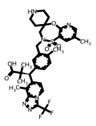 Cc1cnc2c(c1)S(=O)(=O)N(Cc1cc([C@@H](c3ccn4c(C(F)(F)F)nnc4c3C)C(C)(C)C(=O)O)ccc1C)CC1(CCNCC1)O2